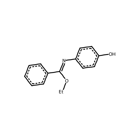 CCO/C(=N\c1ccc(O)cc1)c1ccccc1